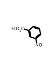 CCOC(=O)c1cccc(N=O)c1